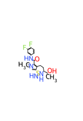 CC(O)C1CCc2c(cn(C)c2C(=O)Nc2ccc(F)c(F)c2)S(=N)N1